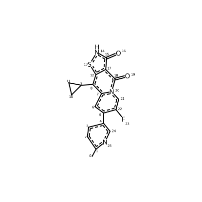 Cc1ccc(-c2cc3c(C4CC4)c4s[nH]c(=O)c4c(=O)n3cc2F)cn1